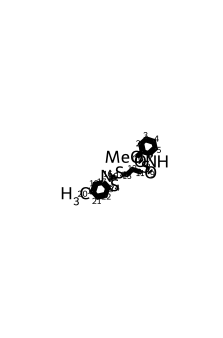 COc1ccccc1NS(=O)(=O)CCCSc1nc2cc(C)ccc2s1